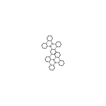 c1ccc2c(c1)B1c3cc(-c4cccc5c4B4c6ccccc6-c6ccccc6N4c4ccccc4-5)ccc3-c3ccccc3N1c1ccccc1-2